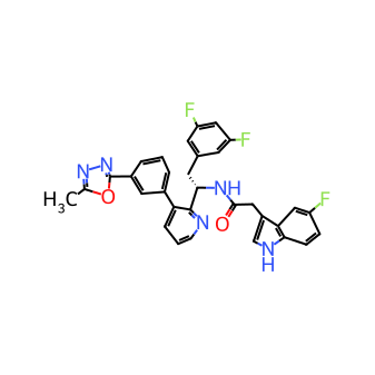 Cc1nnc(-c2cccc(-c3cccnc3[C@H](Cc3cc(F)cc(F)c3)NC(=O)Cc3c[nH]c4ccc(F)cc34)c2)o1